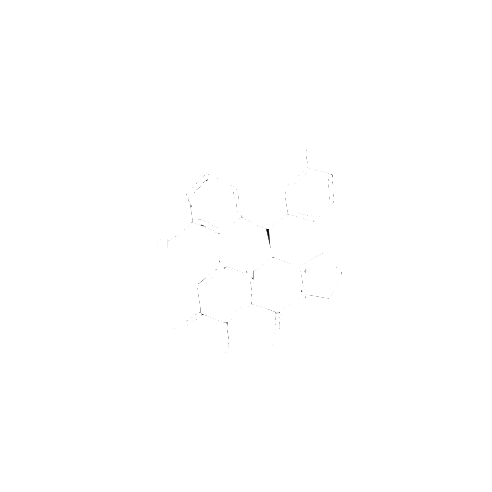 O=C1c2c(O)c(=O)cnn2[C@@H](C(c2cccc(F)c2)c2cccc(Cl)c2)[C@H]2CCCN12